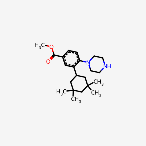 COC(=O)c1ccc(N2CCNCC2)c(C2CC(C)(C)CC(C)(C)C2)c1